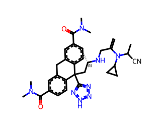 C=C(CN[C@@H](C)CC1(c2nn[nH]n2)c2ccc(C(=O)N(C)C)cc2Cc2cc(C(=O)N(C)C)ccc21)N(C(C)C#N)C1CC1